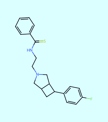 Fc1ccc(C2CC3CN(CCNC(=S)c4ccccc4)CC32)cc1